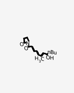 CCCCC(O)C=C(C)C=CC=CC(=O)N1CCCC1=O